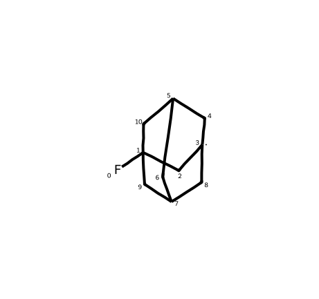 FC12C[C]3CC(CC(C3)C1)C2